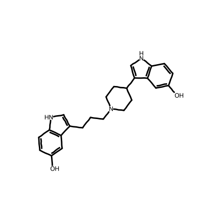 Oc1ccc2[nH]cc(CCCN3CCC(c4c[nH]c5ccc(O)cc45)CC3)c2c1